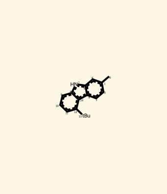 Cc1ccc2c(c1)[nH]c1cccc(C(C)(C)C)c12